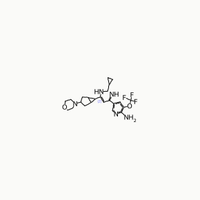 N=C(/C=C(\NCC1CC1)C1C2CC(N3CCOCC3)CC21)c1cnc(N)c(OC(F)(F)F)c1